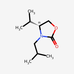 CC(C)CN1C(=O)OC[C@H]1C(C)C